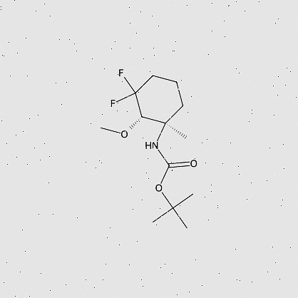 CO[C@@H]1C(F)(F)CCC[C@@]1(C)NC(=O)OC(C)(C)C